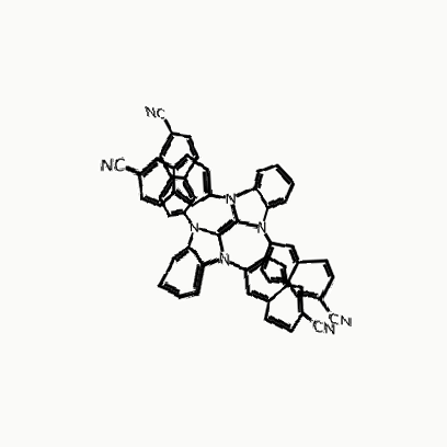 N#Cc1ccc2cc(N3C(=C4N(c5ccc6cc(C#N)ccc6c5)c5ccccc5N4c4ccc5cc(C#N)ccc5c4)N(c4ccc5cc(C#N)ccc5c4)c4ccccc43)ccc2c1